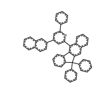 c1ccc(-c2cc(-c3ccc4ccccc4c3)cc(-c3c4c(cc5ccccc35)C(c3ccccc3)(c3ccccc3)c3ccccc3-4)n2)cc1